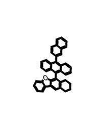 c1ccc2cc(-c3c4ccccc4c(-c4c5c(cc6c4oc4ccccc46)CCCC5)c4ccccc34)ccc2c1